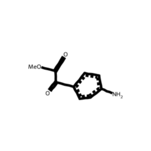 COC(=O)C(=O)c1ccc(N)cc1